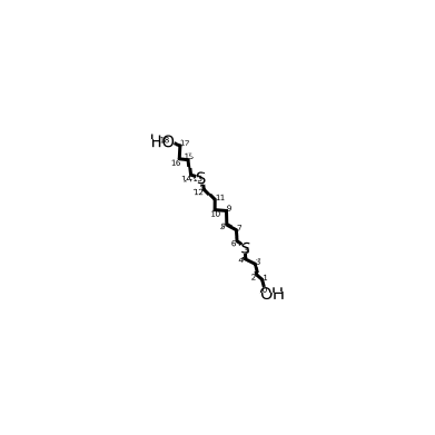 OCCCCSCCCCCCCSCCCCO